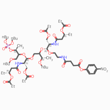 CCCCOCC(O[C@@H](OCC(O[C@@H](OCCNC(=O)CCC(=O)Oc1ccc([N+](=O)[O-])cc1)[C@H](COC(=O)CC)NC(=O)C[C@@H](CC)OC(=O)CC)[C@H](C)OCCCC)[C@H](COC(=O)CC)NC(=O)C[C@@H](CC)OC(=O)CC)[C@H](C)OP(=O)(OCCCC)OCCCC